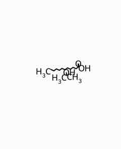 CC(C)O.CCCCCCCCCCCC(=O)O